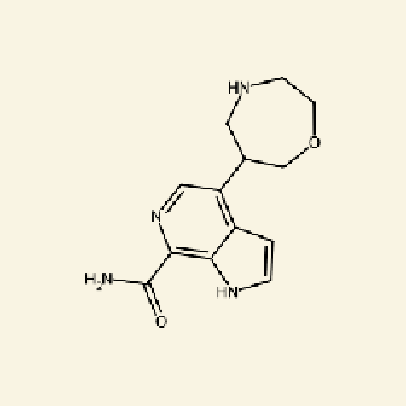 NC(=O)c1ncc(C2CNCCOC2)c2cc[nH]c12